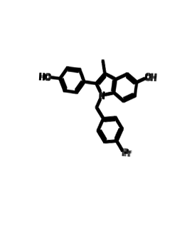 Cc1c(-c2ccc(O)cc2)n(Cc2ccc(C(C)C)cc2)c2ccc(O)cc12